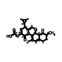 CC1CCC2=CC(F)=C3C(OC=C4C(C5CC5)N=C(OC(=O)O)C(=O)N43)C2N1